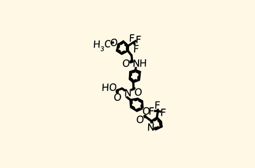 COc1ccc(CC(=O)Nc2ccc(C(=O)N(CC(=O)O)Cc3ccc(OC(=O)c4ncccc4C(F)(F)F)cc3)cc2)c(C(F)(F)F)c1